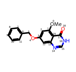 COc1cc(OCc2ccccc2)cc2nc[nH]c(=O)c12